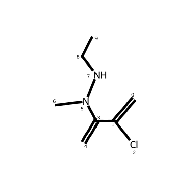 C=C(Cl)C(=C)N(C)NCC